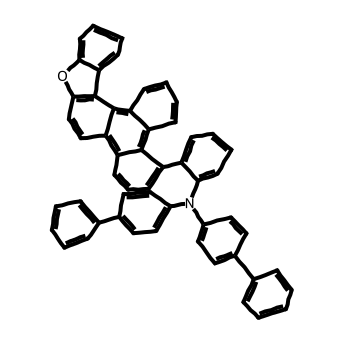 c1ccc(-c2ccc(N(c3ccc(-c4ccccc4)cc3)c3ccccc3-c3cccc4c5ccc6oc7ccccc7c6c5c5ccccc5c34)cc2)cc1